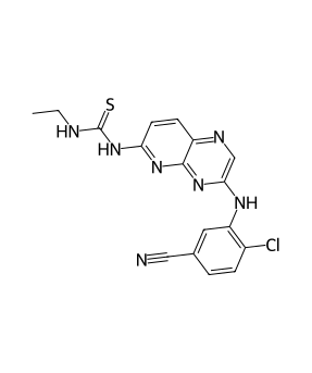 CCNC(=S)Nc1ccc2ncc(Nc3cc(C#N)ccc3Cl)nc2n1